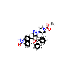 CC(C)(C)OC(=O)N1CCC(n2cc(C(O[Si](c3ccccc3)(c3ccccc3)C(C)(C)C)c3ccc4c5c(cccc35)C(=O)N4)cn2)CC1